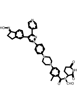 Cc1cc(N2CCN(c3ccc(-n4cc(-c5ccc6c(c5)CC/C6=N\O)c(-c5ccncc5)n4)cc3)CC2)ccc1C(=O)N(C=O)C1CCC(=O)NC1=O